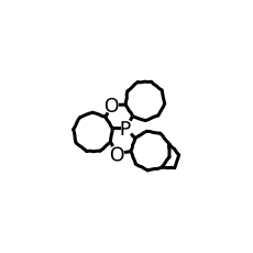 C1CCCC2OC3CCCCCCC4OC5CCC6CCC(CCC5P(C2CCC1)C34)C6